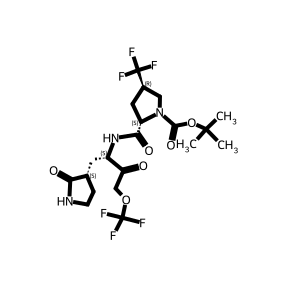 CC(C)(C)OC(=O)N1C[C@H](C(F)(F)F)C[C@H]1C(=O)N[C@@H](C[C@@H]1CCNC1=O)C(=O)COC(F)(F)F